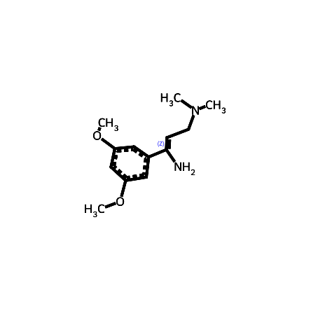 COc1cc(OC)cc(/C(N)=C/CN(C)C)c1